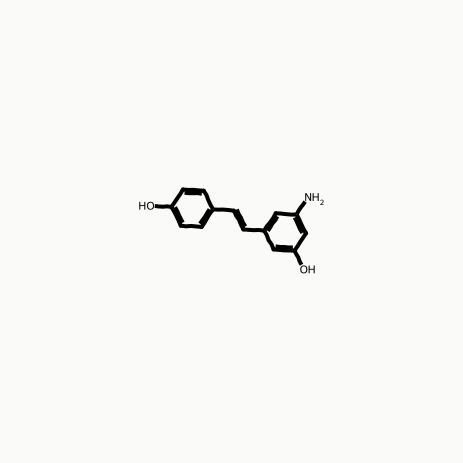 Nc1cc(O)cc(C=Cc2ccc(O)cc2)c1